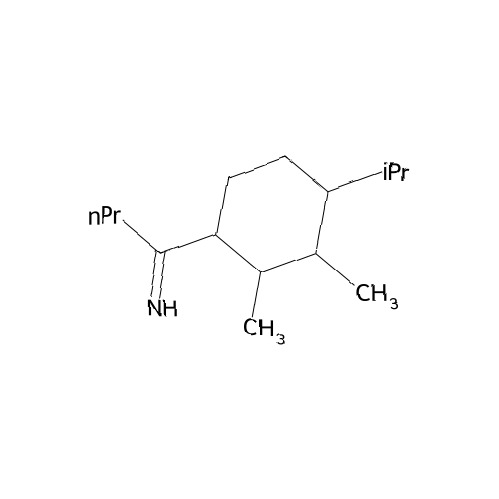 CCCC(=N)C1CCC(C(C)C)C(C)C1C